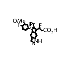 COc1cc(-n2c(C(C)C)c([C@@H](F)CC(=O)O)c3cc4[nH]ncc4cc32)ccc1F